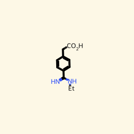 CCNC(=N)c1ccc(CC(=O)O)cc1